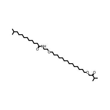 CC(C)CCCCCCCCCC(=O)NCCOCCCCCCCCCCCCCCOCC(=O)C(C)C